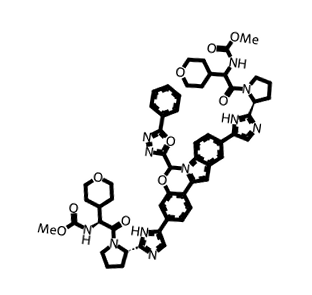 COC(=O)NC(C(=O)N1CCC[C@H]1c1ncc(-c2ccc3c(c2)cc2n3C(c3nnc(-c4ccccc4)o3)Oc3cc(-c4cnc([C@@H]5CCCN5C(=O)[C@@H](NC(=O)OC)C5CCOCC5)[nH]4)ccc3-2)[nH]1)C1CCOCC1